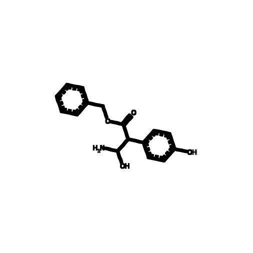 NC(O)C(C(=O)OCc1ccccc1)c1ccc(O)cc1